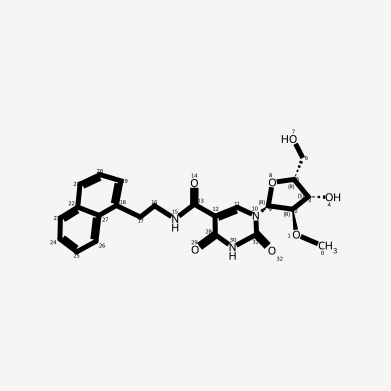 CO[C@@H]1[C@@H](O)[C@@H](CO)O[C@H]1n1cc(C(=O)NCCc2cccc3ccccc23)c(=O)[nH]c1=O